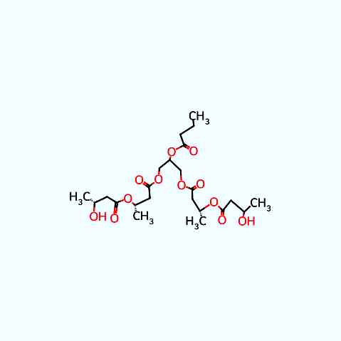 CCCC(=O)OC(COC(=O)C[C@@H](C)OC(=O)CC(C)O)COC(=O)C[C@H](C)OC(=O)C[C@@H](C)O